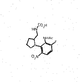 CC(=O)Nc1c(F)ccc([N+](=O)[O-])c1N1CCCC1CNC(=O)O